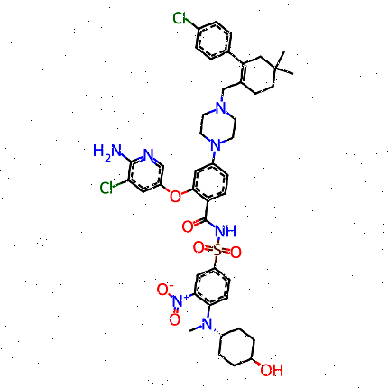 CN(c1ccc(S(=O)(=O)NC(=O)c2ccc(N3CCN(CC4=C(c5ccc(Cl)cc5)CC(C)(C)CC4)CC3)cc2Oc2cnc(N)c(Cl)c2)cc1[N+](=O)[O-])[C@H]1CC[C@H](O)CC1